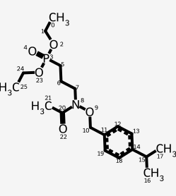 CCOP(=O)(CCCN(OCc1ccc(C(C)C)cc1)C(C)=O)OCC